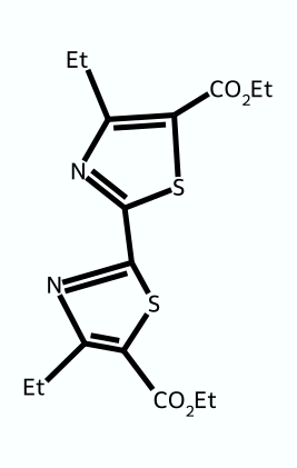 CCOC(=O)c1sc(-c2nc(CC)c(C(=O)OCC)s2)nc1CC